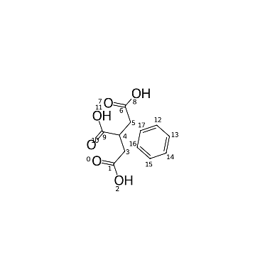 O=C(O)CC(CC(=O)O)C(=O)O.c1ccccc1